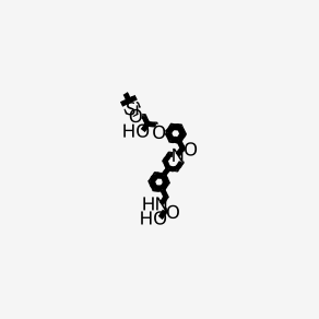 CC(C)(C)[Si](C)(C)OCC(O)COc1cccc(C(=O)N2CCC(c3cccc(CNC(=O)O)c3)CC2)c1